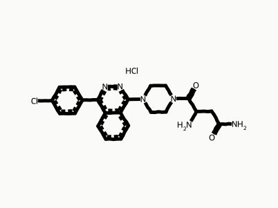 Cl.NC(=O)CC(N)C(=O)N1CCN(c2nnc(-c3ccc(Cl)cc3)c3ccccc23)CC1